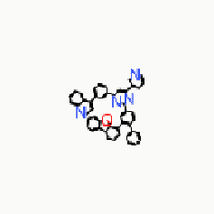 c1ccc(-c2ccc(-c3nc(-c4cccnc4)cc(-c4cccc(-c5ccnc6ccccc56)c4)n3)cc2-c2cccc3c2oc2ccccc23)cc1